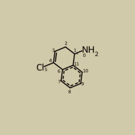 N[C]1CC=C(Cl)c2ccccc21